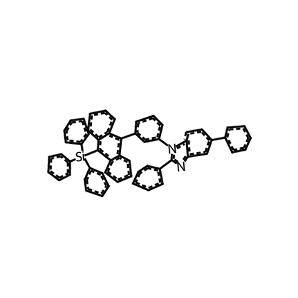 c1ccc(-c2ccc3c(c2)nc(-c2ccccc2)n3-c2cccc(-c3c4ccccc4c([Si](c4ccccc4)(c4ccccc4)c4ccccc4)c4ccccc34)c2)cc1